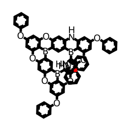 c1ccc(Oc2cc3c4c(c2)Oc2c([nH]c5ccccc25)B4c2cc4c(cc2N3)Oc2cc(Oc3ccccc3)cc3c2B4c2cc4c(cc2O3)Oc2cc(Oc3ccccc3)cc3c2B4c2[nH]c4ccccc4c2O3)cc1